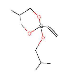 C=C[Si]1(OCC(C)C)OCC(C)CO1